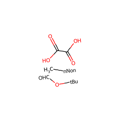 CC(C)(C)OC=O.CCCCCCCCCC.O=C(O)C(=O)O